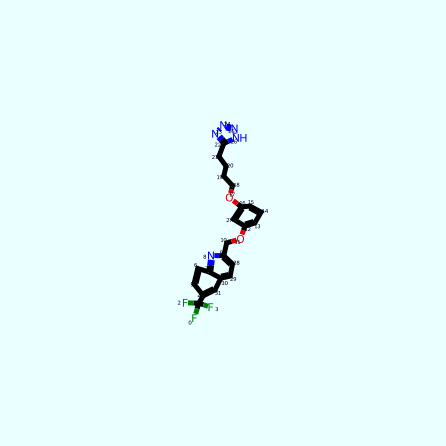 FC(F)(F)c1ccc2nc(COc3cccc(OCCCCc4nnn[nH]4)c3)ccc2c1